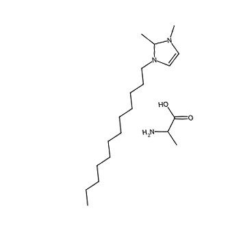 CC(N)C(=O)O.CCCCCCCCCCCCN1C=CN(C)C1C